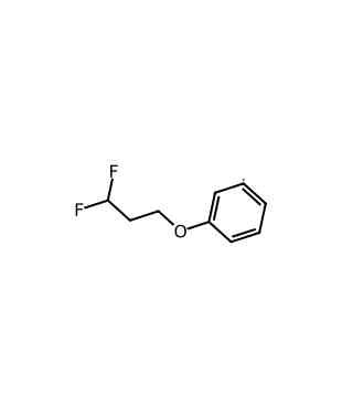 FC(F)CCOc1c[c]ccc1